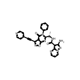 C[C@H](NC(=O)c1c(N)nn2cccnc12)c1nc2onc(C#Cc3ccncc3)c2c(=O)n1-c1ccccc1